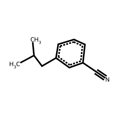 CC(C)Cc1c[c]cc(C#N)c1